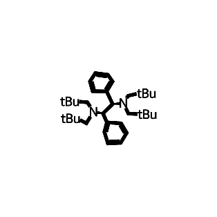 CC(C)(C)CN(CC(C)(C)C)[C@H](c1ccccc1)[C@@H](c1ccccc1)N(CC(C)(C)C)CC(C)(C)C